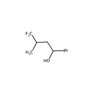 CC(C)C(O)CC(C)C(F)(F)F